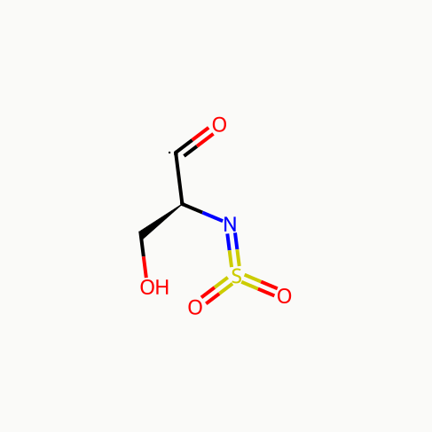 O=[C][C@H](CO)N=S(=O)=O